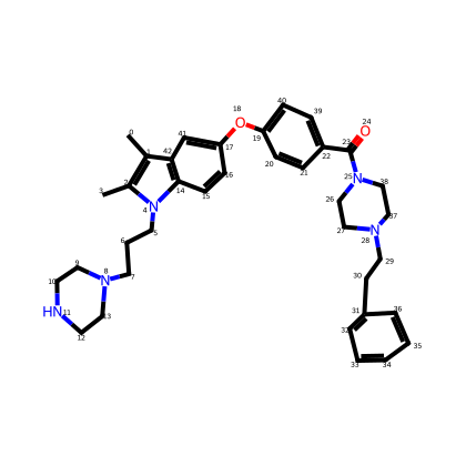 Cc1c(C)n(CCCN2CCNCC2)c2ccc(Oc3ccc(C(=O)N4CCN(CCc5ccccc5)CC4)cc3)cc12